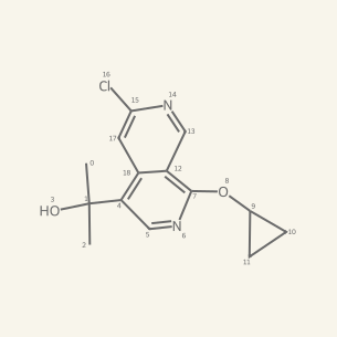 CC(C)(O)c1cnc(OC2CC2)c2cnc(Cl)cc12